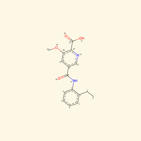 CCc1ccccc1NC(=O)c1cnc(C(=O)O)c(OC)c1